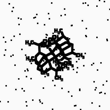 CC1CCC(C(C)C)C(C(C2CC(C)CCC2C(C)C)(P(O)O)C(C2CC(C)CCC2C(C)C)(C2CC(C)CCC2C(C)C)P(O)O)C1